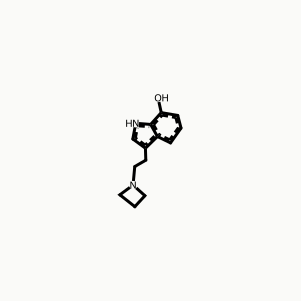 Oc1cccc2c(CCN3CCC3)c[nH]c12